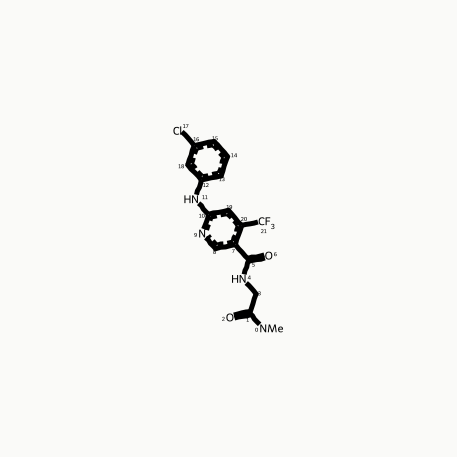 CNC(=O)CNC(=O)c1cnc(Nc2cccc(Cl)c2)cc1C(F)(F)F